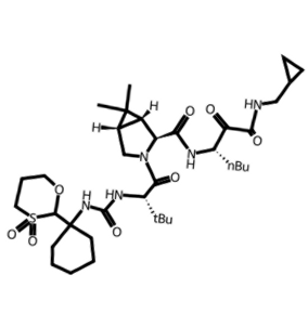 CCCC[C@H](NC(=O)[C@@H]1[C@@H]2[C@H](CN1C(=O)[C@@H](NC(=O)NC1(C3OCCCS3(=O)=O)CCCCC1)C(C)(C)C)C2(C)C)C(=O)C(=O)NCC1CC1